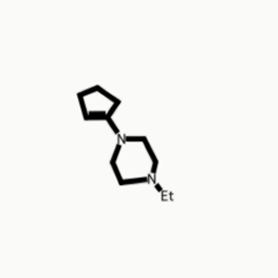 CCN1CCN(C2=CCCC2)CC1